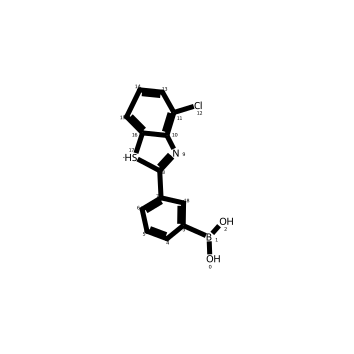 OB(O)c1cccc(C2=Nc3c(Cl)cccc3[SH]2)c1